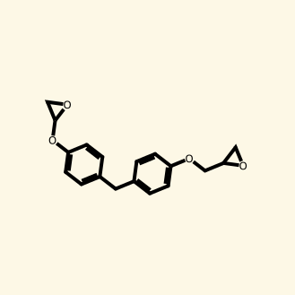 c1cc(OCC2CO2)ccc1Cc1ccc(OC2CO2)cc1